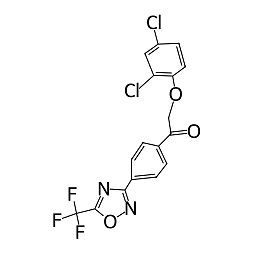 O=C(COc1ccc(Cl)cc1Cl)c1ccc(-c2noc(C(F)(F)F)n2)cc1